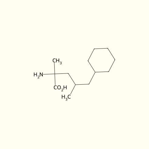 CC(CC1CCCCC1)CC(C)(N)C(=O)O